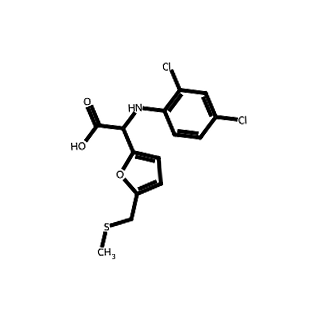 CSCc1ccc(C(Nc2ccc(Cl)cc2Cl)C(=O)O)o1